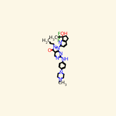 C=CCn1c(=O)c2cnc(Nc3ccc(N4CCN(C)CC4)cc3)nc2n1-c1ccc2c(n1)[C@](O)(C(C)(F)F)CC2